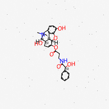 CN1CC[C@]23c4c5ccc(O)c4O[C@H]2C(OC(=O)CCNC(=O)[C@@H](O)c2ccccc2)=CC[C@@]3(O)[C@H]1C5